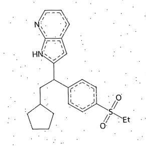 CCS(=O)(=O)c1ccc(C(CC2CCCC2)c2cc3cccnc3[nH]2)cc1